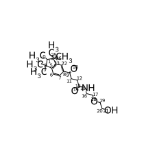 CC1C(C)(C)c2ccc(C(=O)CCC(=O)NCCOCCO)cc2C1(C)C